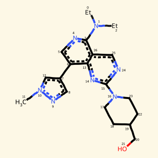 CCN(CC)c1ncc(-c2cnn(C)c2)c2nc(N3CCC(CO)CC3)ncc12